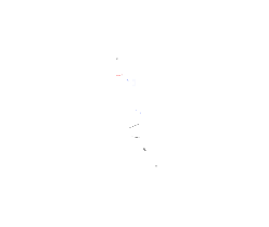 CN(CCCNC(=O)OC(C)(C)C)c1ccc(C#C[Si](C)(C)C)o1